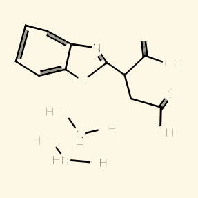 CNC.CNC.OC(=S)CC(C(O)=S)c1nc2ccccc2s1